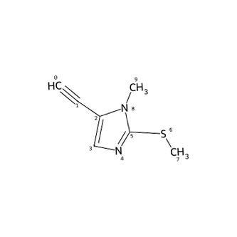 C#Cc1cnc(SC)n1C